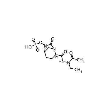 CCN(NC(=O)[C@H]1CCC2CN1C(=O)N2OS(=O)(=O)O)C(C)=O